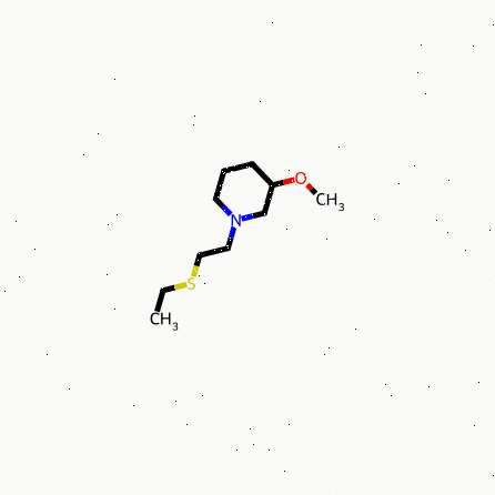 CCSCCN1CCCC(OC)C1